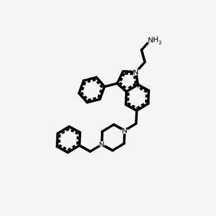 NCCn1cc(-c2ccccc2)c2cc(CN3CCN(Cc4ccccc4)CC3)ccc21